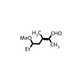 CCC(C/C(C)=C(\C)C=O)OC